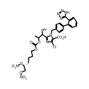 CCCC(c1nc(Cl)c(C(=O)O)n1Cc1ccc(-c2ccccc2-c2nnn[nH]2)cc1)C(C)OC(=O)OCCCC[C@H](CO[N+](=O)[O-])O[N+](=O)[O-]